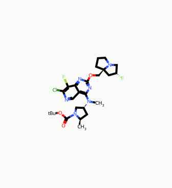 C[C@@H]1C[C@@H](N(C)c2nc(OC[C@@]34CCCN3C[C@H](F)C4)nc3c(F)c(Cl)ncc23)CN1C(=O)OC(C)(C)C